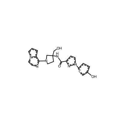 O=C(NC1(CO)CCN(c2nccn3cccc23)C1)c1ccn(-c2ccc(O)cc2)n1